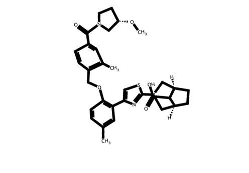 CO[C@H]1CCN(C(=O)c2ccc(COc3ccc(C)cc3-c3csc(N4C[C@H]5CC[C@@H](C4)C5C(=O)O)n3)c(C)c2)C1